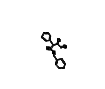 O=[C]C(=O)C(NN=Cc1ccccc1)c1ccccc1